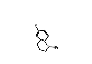 CC(C)N1CCCc2cc(F)ccc21